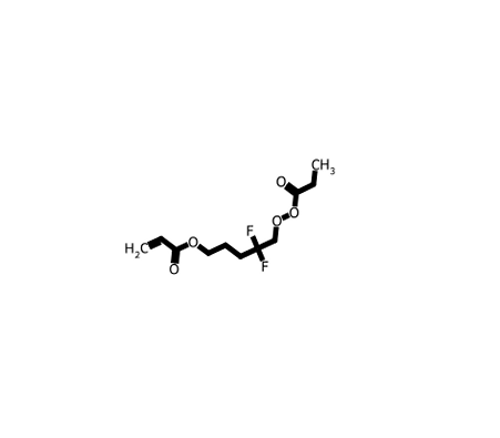 C=CC(=O)OCCCC(F)(F)COOC(=O)CC